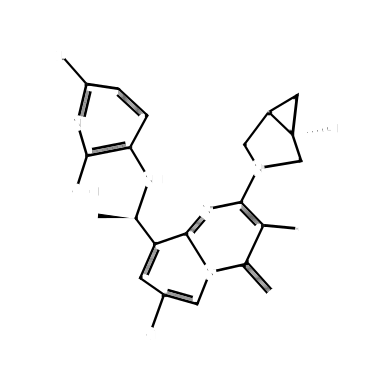 C[C@@H](Nc1ccc(Cl)nc1C(=O)O)c1cc(Cl)cn2c(=O)c(Cl)c(N3CC4C[C@H]4C3)nc12